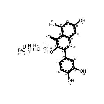 Cl.Cl.Cl.Cl.O.O=c1c(O)c(-c2ccc(O)c(O)c2)oc2cc(O)cc(O)c12.[Fe]